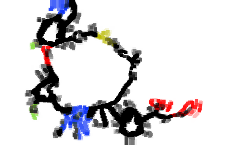 Cn1nc2nc1-c1cc(ccc1F)Oc1c(F)cc3[nH]ccc3c1CCSCC(C)(C)CCCC2(C)c1cccc(C(O)CO)c1